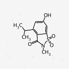 CC(C)c1cc(O)cc2c1C(=O)N(C)S2(=O)=O